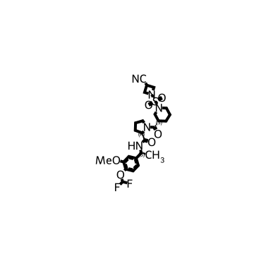 COc1cc([C@H](C)NC(=O)[C@H]2CCCN2C(=O)[C@H]2CCCN(S(=O)(=O)N3CC(C#N)C3)C2)ccc1OC(F)F